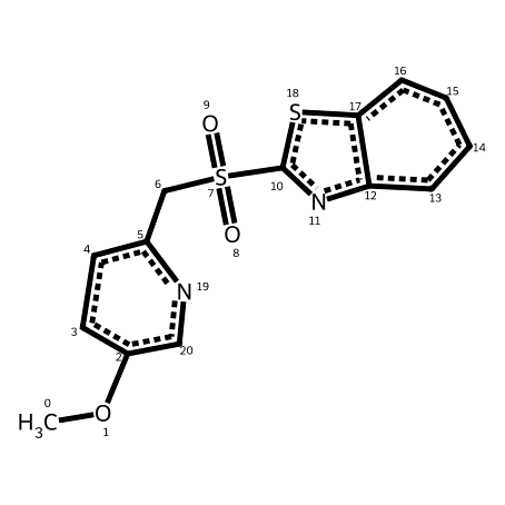 COc1ccc(CS(=O)(=O)c2nc3ccccc3s2)nc1